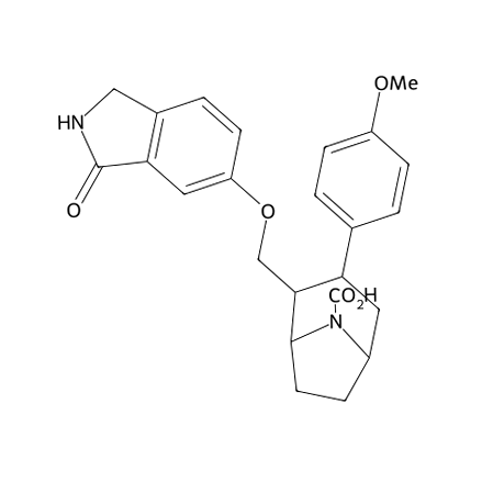 COc1ccc(C2CC3CCC(C2COc2ccc4c(c2)C(=O)NC4)N3C(=O)O)cc1